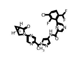 CC(c1cnc(N2C[C@H]3C[C@H]3C2=O)cn1)n1cc(NC(=O)c2cncc(-c3c(C(F)F)ccc(Cl)c3F)n2)cn1